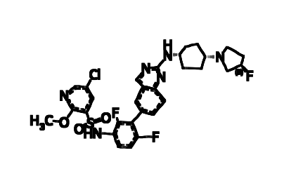 COc1ncc(Cl)cc1S(=O)(=O)Nc1ccc(F)c(-c2ccc3nc(N[C@H]4CC[C@@H](N5CC[C@@H](F)C5)CC4)ncc3c2)c1F